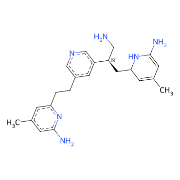 CC1=CC(C[C@H](CN)c2cncc(CCc3cc(C)cc(N)n3)c2)NC(N)=C1